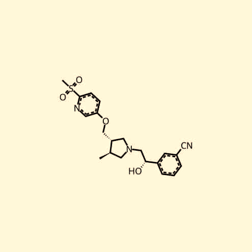 C[C@@H]1CN(C[C@@H](O)c2cccc(C#N)c2)C[C@H]1COc1ccc(S(C)(=O)=O)nc1